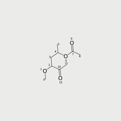 COC(CC(C)OC(C)=O)C(C)=O